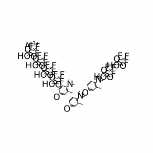 Cc1cc([O-])ccc1N(C)C.Cc1cc([O-])ccc1N(C)C.Cc1cc([O-])ccc1N(C)C.O=S(=O)(O)C(F)(F)F.O=S(=O)(O)C(F)(F)F.O=S(=O)(O)C(F)(F)F.O=S(=O)(O)C(F)(F)F.O=S(=O)(O)C(F)(F)F.O=S(=O)(O)C(F)(F)F.[Al+3]